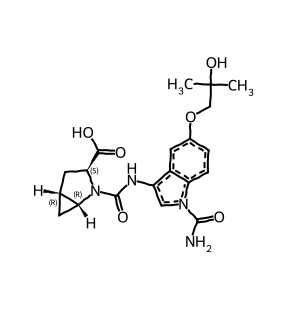 CC(C)(O)COc1ccc2c(c1)c(NC(=O)N1[C@@H]3C[C@@H]3C[C@H]1C(=O)O)cn2C(N)=O